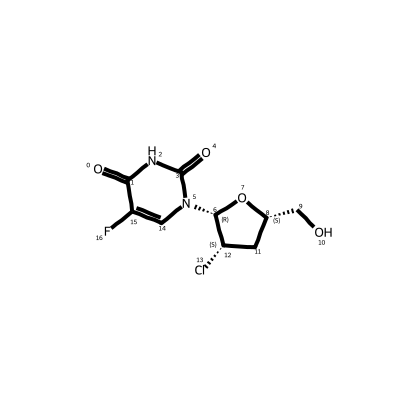 O=c1[nH]c(=O)n([C@@H]2O[C@H](CO)C[C@@H]2Cl)cc1F